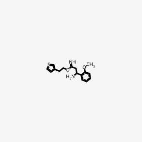 COc1ccccc1C(N)CC(=N)OCCc1ccsc1